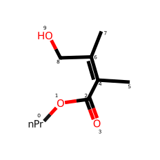 CCCOC(=O)C(C)=C(C)CO